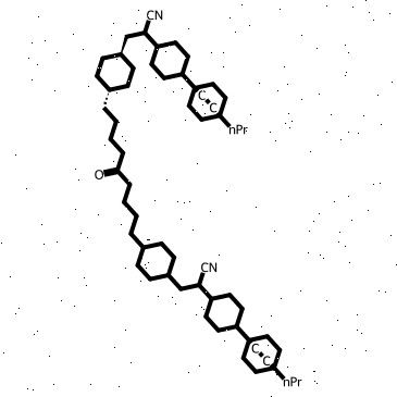 CCCC12CCC(C3CCC(C(C#N)CC4CCC(CCCCC(=O)CCCC[C@H]5CC[C@H](CC(C#N)C6CCC(C78CCC(CCC)(CC7)CC8)CC6)CC5)CC4)CC3)(CC1)CC2